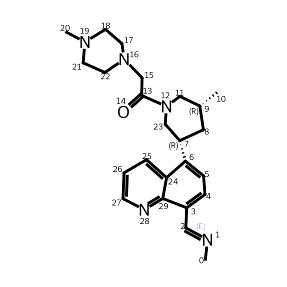 C/N=C/c1ccc([C@H]2C[C@@H](C)CN(C(=O)CN3CCN(C)CC3)C2)c2cccnc12